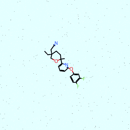 CCC1(CC#N)CCC(C)(c2cccc(Oc3ccc(F)c(F)c3)n2)OC1